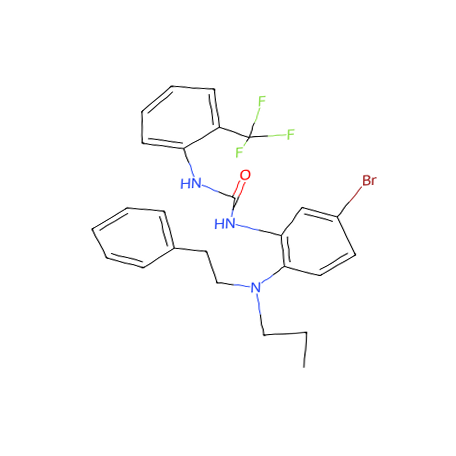 CCCN(CCc1ccccc1)c1ccc(Br)cc1NC(=O)Nc1ccccc1C(F)(F)F